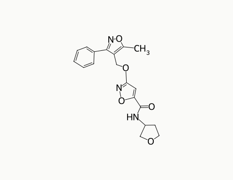 Cc1onc(-c2ccccc2)c1COc1cc(C(=O)NC2CCOC2)on1